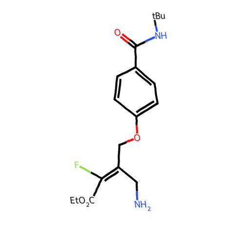 CCOC(=O)/C(F)=C(\CN)COc1ccc(C(=O)NC(C)(C)C)cc1